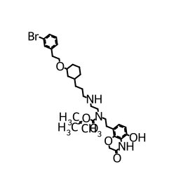 CC(C)(C)OC(=O)N(CCNCCCC1CCCC(OCCc2cccc(Br)c2)C1)CCc1ccc(O)c2c1OCC(=O)N2